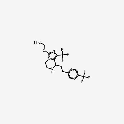 CCOc1nc(C(F)(F)F)c2n1CCNC2CCc1ccc(C(F)(F)F)cc1